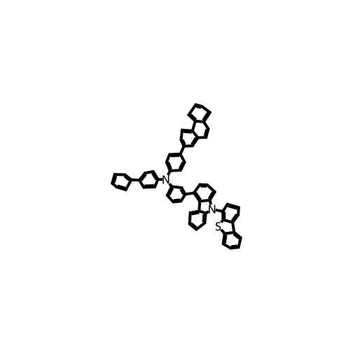 c1ccc(-c2ccc(N(c3ccc(-c4ccc5c(ccc6ccccc65)c4)cc3)c3cccc(-c4cccc5c4c4ccccc4n5-c4cccc5c4sc4ccccc45)c3)cc2)cc1